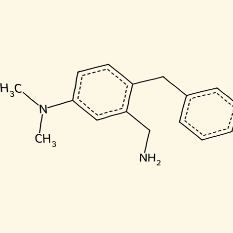 CN(C)c1ccc(Cc2ccccc2)c(CN)c1